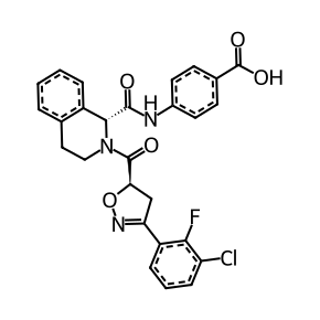 O=C(O)c1ccc(NC(=O)[C@H]2c3ccccc3CCN2C(=O)[C@H]2CC(c3cccc(Cl)c3F)=NO2)cc1